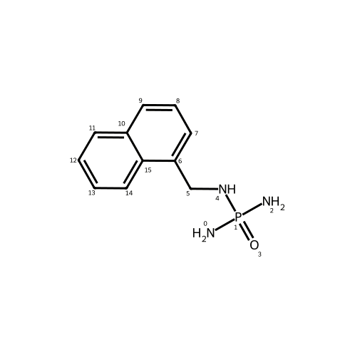 NP(N)(=O)NCc1cccc2ccccc12